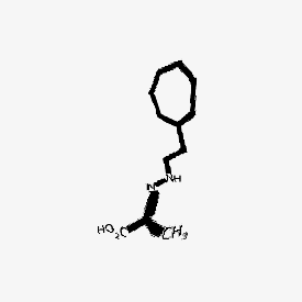 CC(=NNCCC1CCCCCC1)C(=O)O